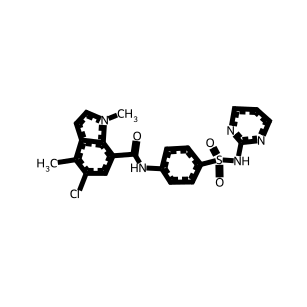 Cc1c(Cl)cc(C(=O)Nc2ccc(S(=O)(=O)Nc3ncccn3)cc2)c2c1ccn2C